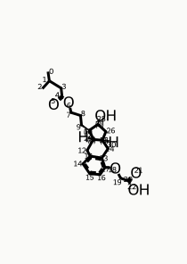 CC(C)CC(=O)OCCC[C@@H]1[C@H]2Cc3cccc(OCC(=O)O)c3C[C@H]2C[C@H]1O